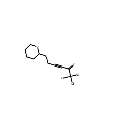 O=C(C#CCOC1CCCCO1)C(Cl)(Cl)Cl